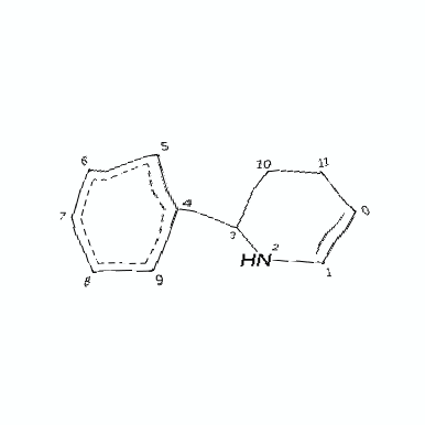 C1=CNC(c2ccccc2)CC1